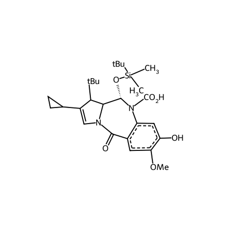 COc1cc2c(cc1O)N(C(=O)O)[C@@H](O[Si](C)(C)C(C)(C)C)C1C(C(C)(C)C)C(C3CC3)=CN1C2=O